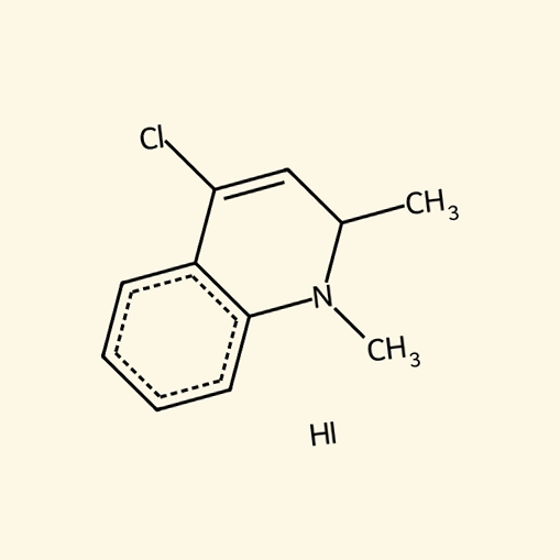 CC1C=C(Cl)c2ccccc2N1C.I